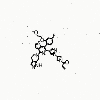 C=CC(=O)N1CC(n2cc(-c3nc(N4CCc5cn[nH]c5C4)c4ccsc4c3-c3ccc(F)cc3OCCOC)cn2)C1